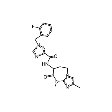 Cc1cn2c(n1)N(C)C(=O)C(NC(=O)c1ncn(Cc3ccccc3F)n1)CC2